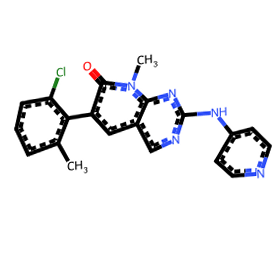 Cc1cccc(Cl)c1-c1cc2cnc(Nc3ccncc3)nc2n(C)c1=O